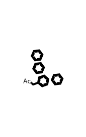 CC(=O)Cc1ccccc1.c1ccccc1.c1ccccc1.c1ccccc1